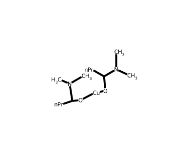 CCCC([O][Cu][O]C(CCC)N(C)C)N(C)C